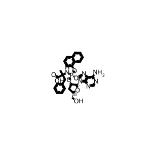 CC(Cc1ccccc1)(NP(=O)(Oc1cccc2ccccc12)O[C@@H]1C[C@@H](CO)O[C@H]1n1cnc2c(N)ncnc21)C(=O)O